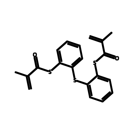 C=C(C)C(=O)Sc1ccccc1Sc1ccccc1SC(=O)C(=C)C